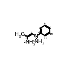 C/C(N)=C/N(N)c1ccccc1